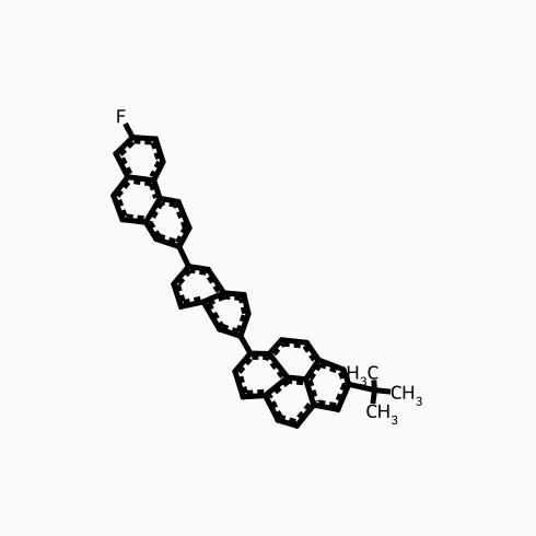 CC(C)(C)c1cc2ccc3ccc(-c4ccc5cc(-c6ccc7c(ccc8cc(F)ccc87)c6)ccc5c4)c4ccc(c1)c2c34